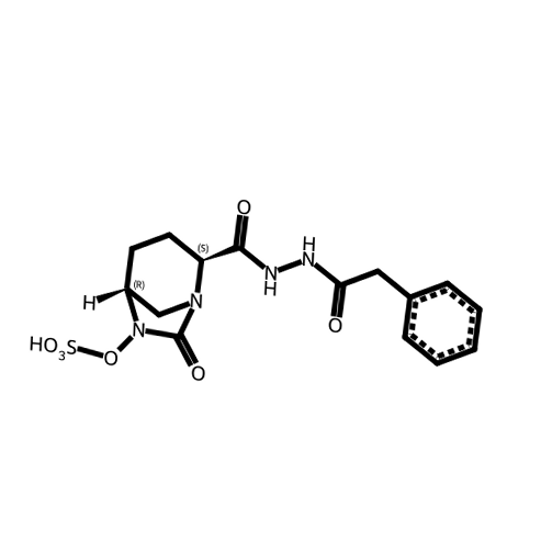 O=C(Cc1ccccc1)NNC(=O)[C@@H]1CC[C@@H]2CN1C(=O)N2OS(=O)(=O)O